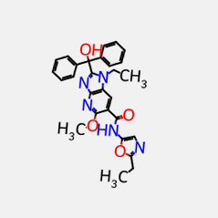 CCc1ncc(NC(=O)c2cc3c(nc2OC)nc(C(O)(c2ccccc2)c2ccccc2)n3CC)o1